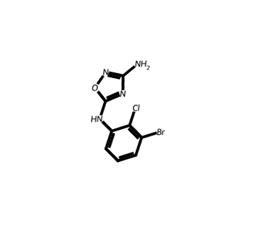 Nc1noc(Nc2cccc(Br)c2Cl)n1